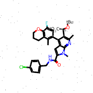 Cc1nc2c(cc(C(=O)NCc3ccc(Cl)cc3)n2C)c(-c2cc(F)c3c(c2C)CCCO3)c1[C@H](OC(C)(C)C)C(=O)O